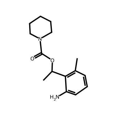 Cc1cccc(N)c1C(C)OC(=O)N1CCCCC1